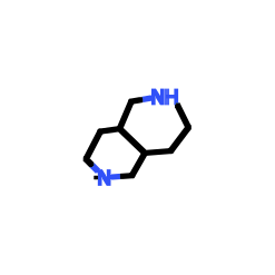 C1CNCC2CC[N]CC2C1